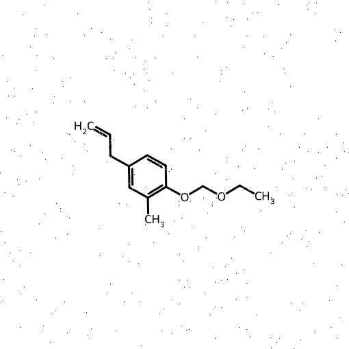 C=CCc1ccc(OCOCC)c(C)c1